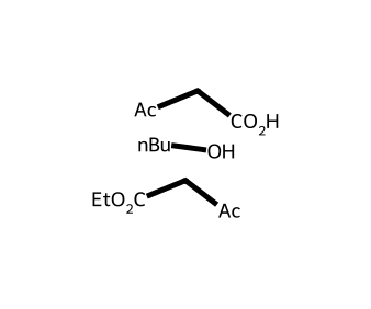 CC(=O)CC(=O)O.CCCCO.CCOC(=O)CC(C)=O